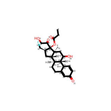 CCC(=O)O[C@]1(C(=O)CO)[C@H](CF)C[C@H]2[C@@H]3CCC4=CC(=O)C=C[C@]4(C)[C@H]3C(O)C[C@@]21C